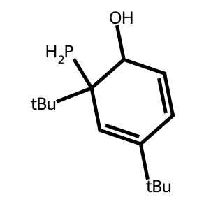 CC(C)(C)C1=CC(P)(C(C)(C)C)C(O)C=C1